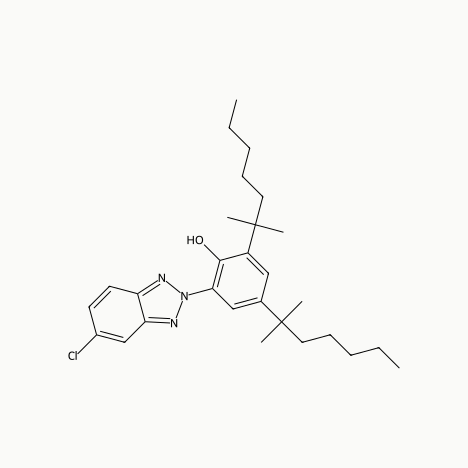 CCCCCC(C)(C)c1cc(-n2nc3ccc(Cl)cc3n2)c(O)c(C(C)(C)CCCCC)c1